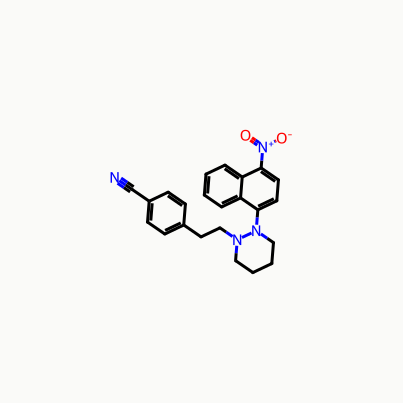 N#Cc1ccc(CCN2CCCCN2c2ccc([N+](=O)[O-])c3ccccc23)cc1